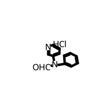 Cl.O=CN(Cc1ccccc1)c1cccnc1